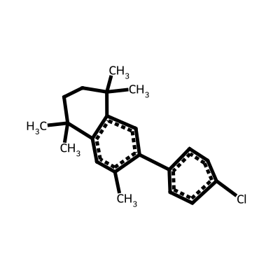 Cc1cc2c(cc1-c1ccc(Cl)cc1)C(C)(C)CCC2(C)C